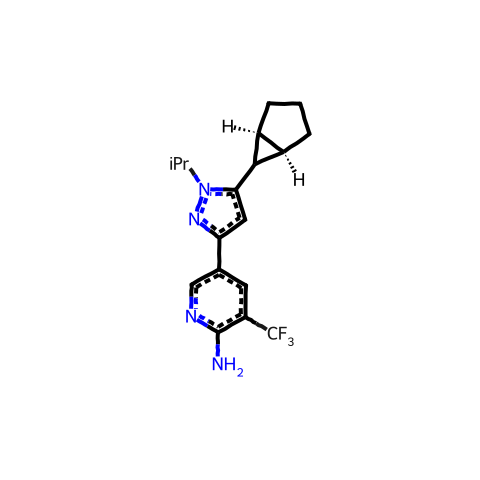 CC(C)n1nc(-c2cnc(N)c(C(F)(F)F)c2)cc1C1[C@H]2CCC[C@@H]12